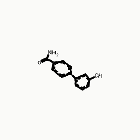 NC(=O)c1ccc(-c2cccc(O)c2)cc1